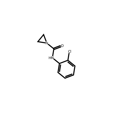 O=C(Nc1ccccc1Cl)N1CC1